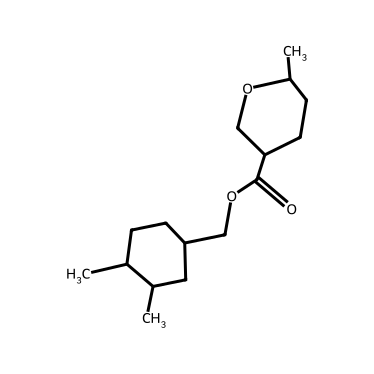 CC1CCC(C(=O)OCC2CCC(C)C(C)C2)CO1